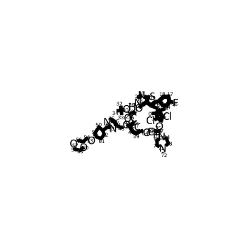 Cc1c(Cl)c2c(Cl)c(C)c1-c1c(-c3ccc(F)cc3)sc3ncnc(c13)O[C@@H](C(=O)OC(C)(C)C)Cc1cc(ccc1OCc1ccnc(C3CCC(OCC4COCCO4)CC3)n1)OC[C@@H](CN1CCN(C)CC1)O2